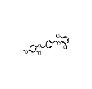 COc1ccc(OCc2ccc(COc3c(Cl)cccc3Cl)cc2)c(Cl)c1